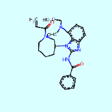 C=CC(=O)N1CCCCC(n2c(NC(=O)c3ccccc3)nc3cccc(N(C=O)CC(=O)O)c32)C1